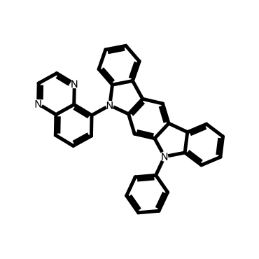 c1ccc(-n2c3ccccc3c3cc4c5ccccc5n(-c5cccc6nccnc56)c4cc32)cc1